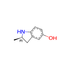 C[C@@H]1Cc2cc(O)ccc2N1